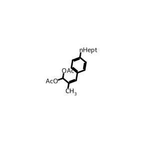 CCCCCCCc1ccc(C=C(C)C(OC(C)=O)OC(C)=O)cc1